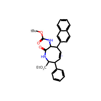 CCOC(=O)C1NC(=O)C(NC(=O)OC(C)(C)C)C(c2ccc3ccccc3c2)/C=C\C1c1ccccc1